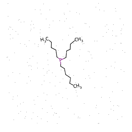 CCCCCCP(CCCCC)CCCCC